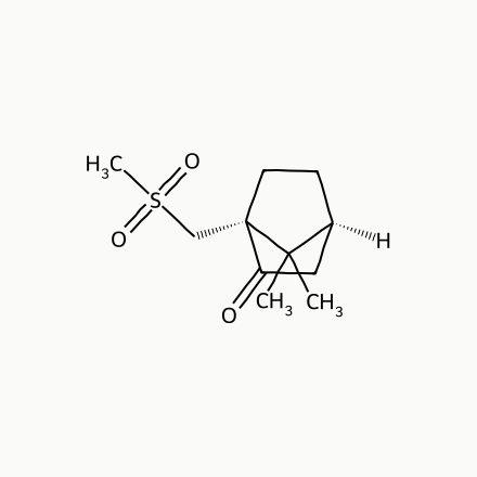 CC1(C)[C@H]2CC[C@]1(CS(C)(=O)=O)C(=O)C2